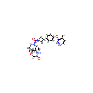 Cc1ccnnc1Oc1ccc(C2CN(C(=O)N3CC[C@@H]4OCC(=O)N[C@@H]4C3)C2)cc1